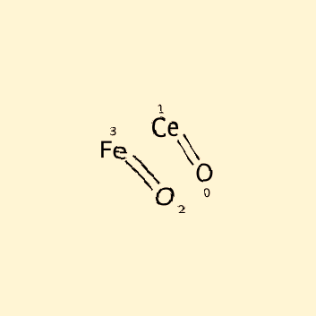 [O]=[Ce].[O]=[Fe]